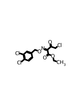 CCOC(=O)C(=NOCc1ccc(Cl)c(Cl)c1)C(=O)CCl